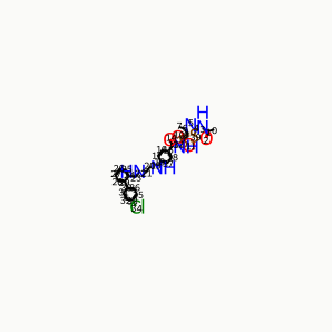 CC(=O)Nc1nc(C)c(S(=O)(=O)NC(=O)c2ccc(NCCNCc3ccccc3-c3ccc(Cl)cc3)cc2)s1